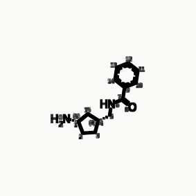 N[C@H]1CC[C@@H](CNC(=O)c2ccccc2)C1